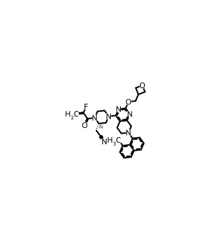 C=C(F)C(=O)N1CCN(c2nc(OCC3COC3)nc3c2CCN(c2cccc4cccc(C)c24)C3)C[C@@H]1CC#N